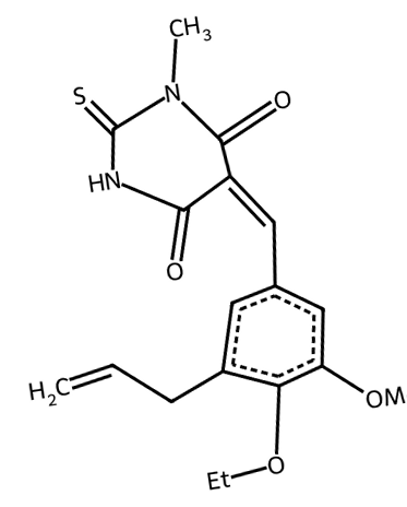 C=CCc1cc(/C=C2\C(=O)NC(=S)N(C)C2=O)cc(OC)c1OCC